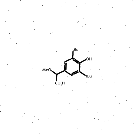 COC(C(=O)O)c1cc(C(C)(C)C)c(O)c(C(C)(C)C)c1